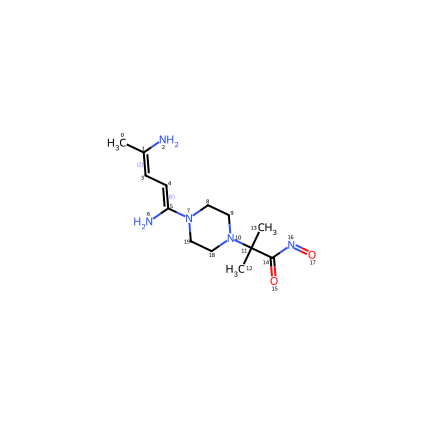 C/C(N)=C/C=C(\N)N1CCN(C(C)(C)C(=O)N=O)CC1